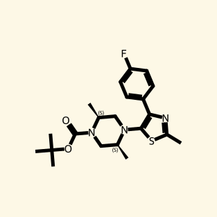 Cc1nc(-c2ccc(F)cc2)c(N2C[C@H](C)N(C(=O)OC(C)(C)C)C[C@@H]2C)s1